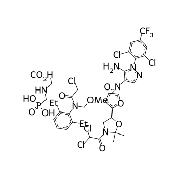 CC1(C)OC(c2ccco2)CN1C(=O)C(Cl)Cl.CCc1cccc(CC)c1N(COC)C(=O)CCl.Nc1c([N+](=O)[O-])cnn1-c1c(Cl)cc(C(F)(F)F)cc1Cl.O=C(O)CNCP(=O)(O)O